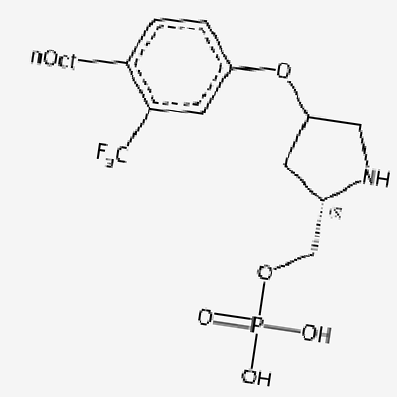 CCCCCCCCc1ccc(OC2CN[C@H](COP(=O)(O)O)C2)cc1C(F)(F)F